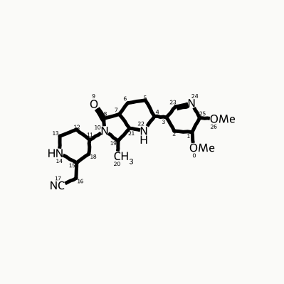 COC1CC(C2CCC3C(=O)N(C4CCNC(CC#N)C4)C(C)C3N2)C=NC1OC